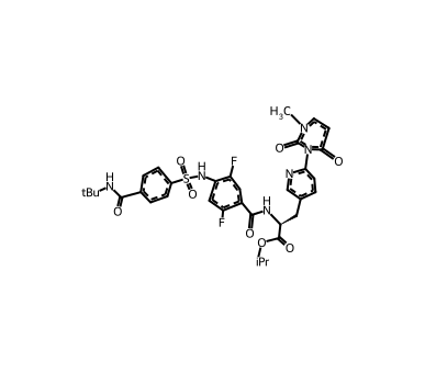 CC(C)OC(=O)[C@H](Cc1ccc(-n2c(=O)ccn(C)c2=O)nc1)NC(=O)c1cc(F)c(NS(=O)(=O)c2ccc(C(=O)NC(C)(C)C)cc2)cc1F